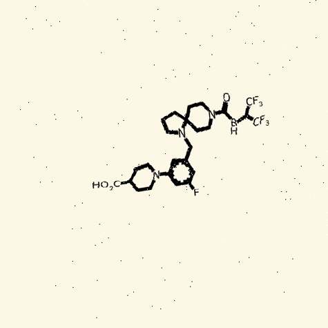 O=C(O)C1CCN(c2cc(F)cc(CN3CCCC34CCN(C(=O)BC(C(F)(F)F)C(F)(F)F)CC4)c2)CC1